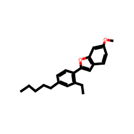 CCCCCc1ccc(-c2cc3ccc(OC)cc3o2)c(CC)c1